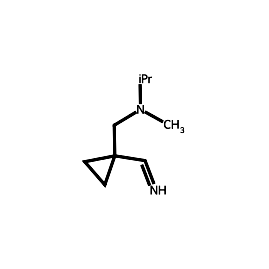 CC(C)N(C)CC1(C=N)CC1